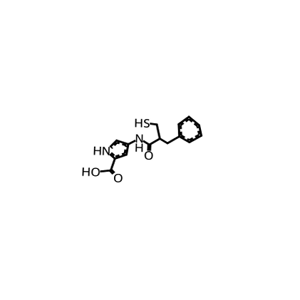 O=C(O)c1cc(NC(=O)C(CS)Cc2ccccc2)c[nH]1